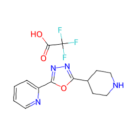 O=C(O)C(F)(F)F.c1ccc(-c2nnc(C3CCNCC3)o2)nc1